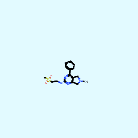 CS(=O)(=O)CCNc1nc2c(c(-c3ccccc3)n1)CN(C#N)C2